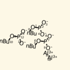 CCCCOP([O-])[O-].CCCCOP([O-])[O-].CCCCOP([O-])[O-].[Al+3].[Al+3]